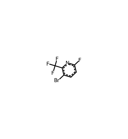 Fc1ccc(Br)c(C(F)(F)F)n1